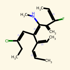 C=C(/C(F)=C\C)/C(NC)=C(/C=C(/Cl)CC)C(\C=C/C)=C/C